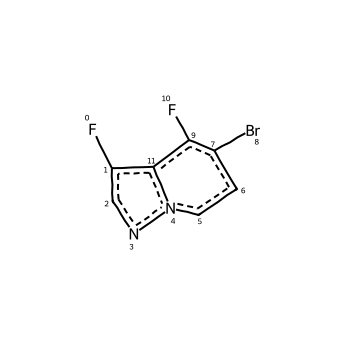 Fc1cnn2ccc(Br)c(F)c12